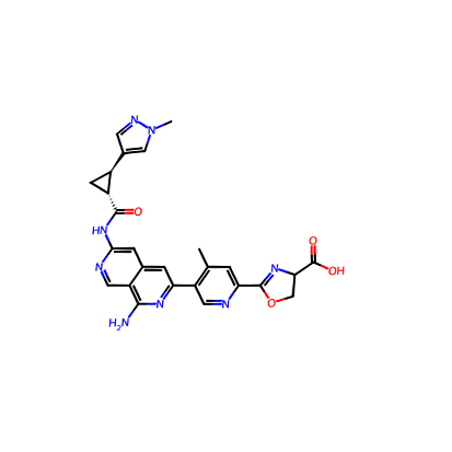 Cc1cc(C2=NC(C(=O)O)CO2)ncc1-c1cc2cc(NC(=O)[C@@H]3C[C@H]3c3cnn(C)c3)ncc2c(N)n1